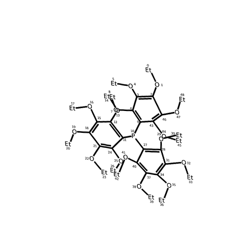 CCOc1c(OCC)c(OCC)c(P(c2c(OCC)c(OCC)c(OCC)c(OCC)c2OCC)c2c(OCC)c(OCC)c(OCC)c(OCC)c2OCC)c(OCC)c1OCC